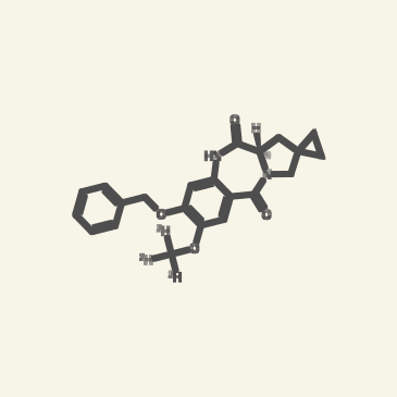 [2H]C([2H])([2H])Oc1cc2c(cc1OCc1ccccc1)NC(=O)[C@@H]1CC3(CC3)CN1C2=O